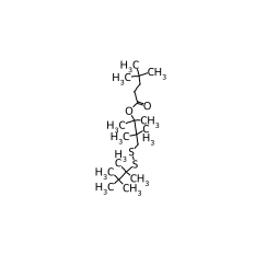 CC(C)(C)CCC(=O)OC(C)(C)C(C)(C)CSSC(C)(C)C(C)(C)C